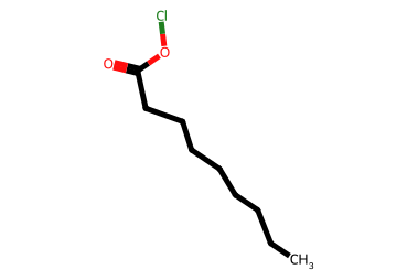 CCCCCCCCC(=O)OCl